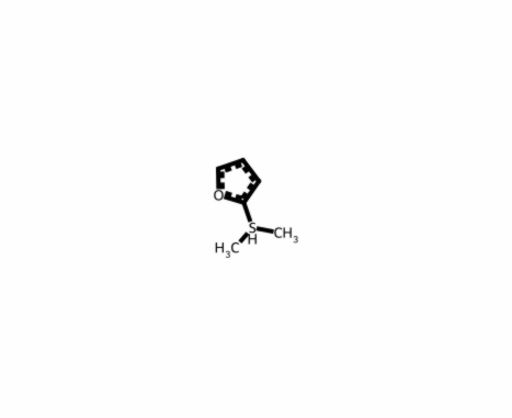 C[SH](C)c1ccco1